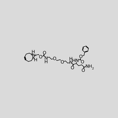 NC(=O)CCC(NC(=O)OCc1ccccc1)C(=O)NCCOCCOCCNC(=O)OC[C@@H]1[C@@H]2CCC#CCC[C@@H]21